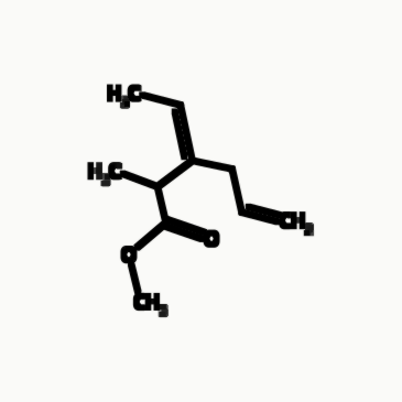 C=CCC(=CC)C(C)C(=O)OC